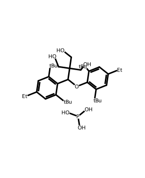 CCc1cc(C(C)(C)C)c(OC(c2c(C(C)(C)C)cc(CC)cc2C(C)(C)C)C(CO)(CO)CO)c(C(C)(C)C)c1.OP(O)O